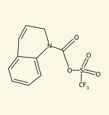 O=C(OS(=O)(=O)C(F)(F)F)N1CC=Cc2ccccc21